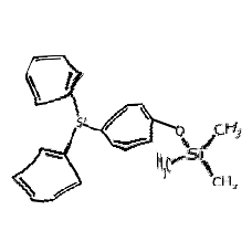 C[Si](C)(C)Oc1ccc([S+](c2ccccc2)c2ccccc2)cc1